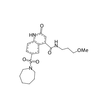 COCCCNC(=O)c1cc(=O)[nH]c2ccc(S(=O)(=O)N3CCCCCC3)cc12